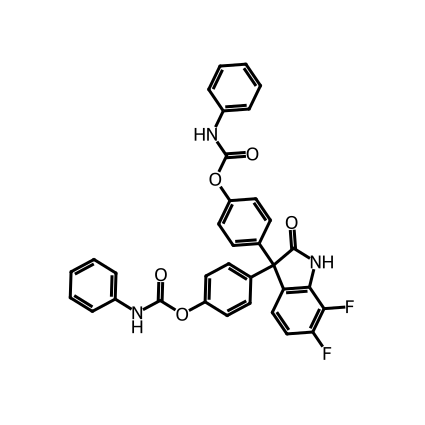 O=C(Nc1ccccc1)Oc1ccc(C2(c3ccc(OC(=O)Nc4ccccc4)cc3)C(=O)Nc3c2ccc(F)c3F)cc1